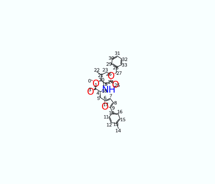 COC(=O)[C@H](Cc1ccc(-c2ccc(C)cc2)o1)NC(CC(C)C)C(=O)OCc1ccccc1